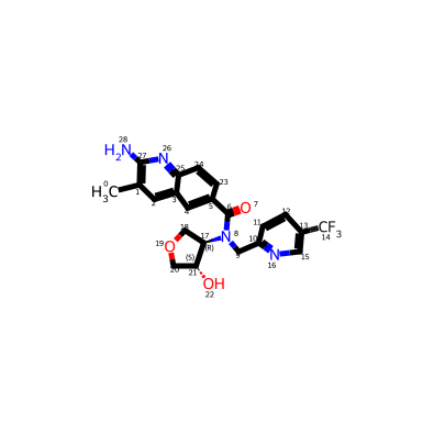 Cc1cc2cc(C(=O)N(Cc3ccc(C(F)(F)F)cn3)[C@@H]3COC[C@H]3O)ccc2nc1N